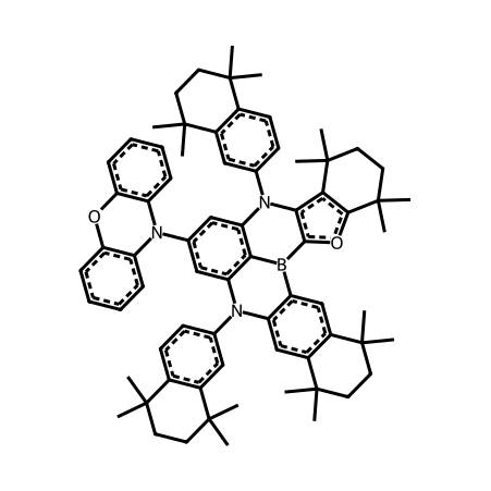 CC1(C)CCC(C)(C)c2cc(N3c4cc5c(cc4B4c6oc7c(c6N(c6ccc8c(c6)C(C)(C)CCC8(C)C)c6cc(N8c9ccccc9Oc9ccccc98)cc3c64)C(C)(C)CCC7(C)C)C(C)(C)CCC5(C)C)ccc21